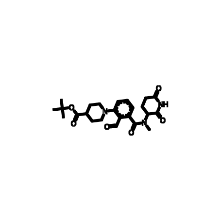 CN(C(=O)c1cccc(N2CCC(C(=O)OC(C)(C)C)CC2)c1C=O)C1CCC(=O)NC1=O